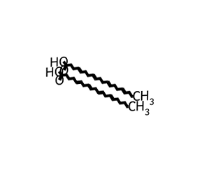 CCCC=CCCC=CCCC=CCCC=CCCC(=O)O.CCCCCC=CCC=CCC=CCC=CCCCC(=O)O